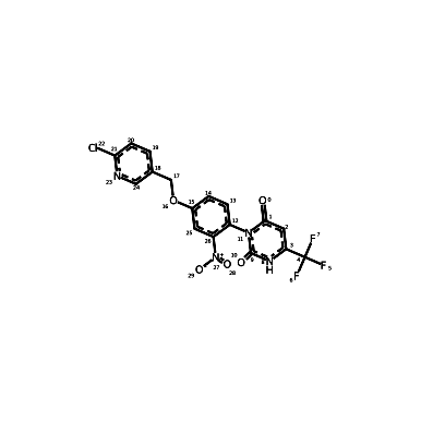 O=c1cc(C(F)(F)F)[nH]c(=O)n1-c1ccc(OCc2ccc(Cl)nc2)cc1[N+](=O)[O-]